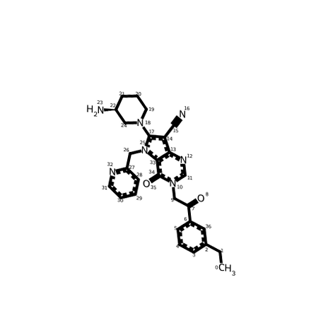 CCc1cccc(C(=O)Cn2cnc3c(C#N)c(N4CCC[C@H](N)C4)n(Cc4ccccn4)c3c2=O)c1